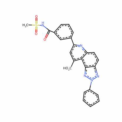 CS(=O)(=O)NC(=O)c1cccc(-c2cc(C(=O)O)c3c(ccc4nn(-c5ccccc5)nc43)n2)c1